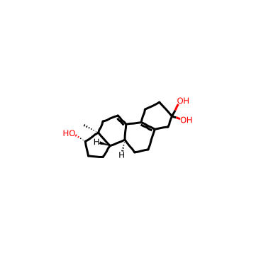 C[C@]12CC=C3C4=C(CC[C@H]3[C@@H]1CC[C@@H]2O)CC(O)(O)CC4